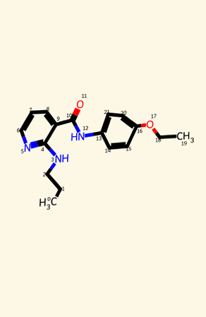 CCCNc1ncccc1C(=O)Nc1ccc(OCC)cc1